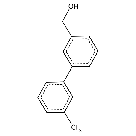 OCc1cccc(-c2cccc(C(F)(F)F)c2)c1